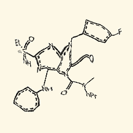 CCCN(C)C(=O)n1c(=O)n(Cc2ccc(F)cc2)c2nc([S@@](=N)(=O)CC)nc(Nc3ccccc3)c21